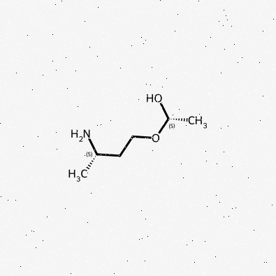 C[C@H](N)CCO[C@@H](C)O